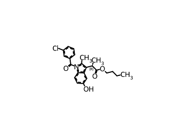 CCCCOC(=O)[C@H](C)c1c(C)n(C(=O)c2cccc(Cl)c2)c2ccc(O)cc12